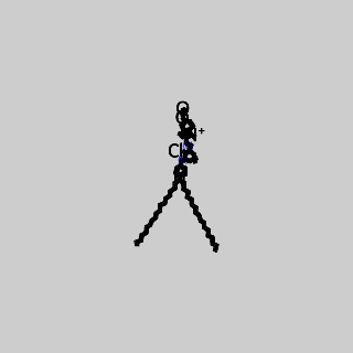 CCCCCCCCCCCCCCCCCCN(CCCCCCCCCCCCCCCCCC)c1ccc(/C=C2\CC(C)(C)CC(/C=C/C3=[N+](C)c4ccc(OC=O)cc4C3(C)C)=C2Cl)cc1